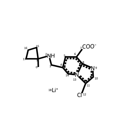 CC1(NCc2cc(C(=O)[O-])c3ncc(Cl)n3c2)CCC1.[Li+]